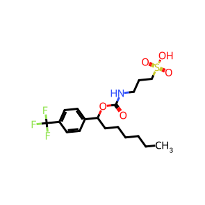 CCCCCCC(OC(=O)NCCCS(=O)(=O)O)c1ccc(C(F)(F)F)cc1